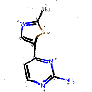 CC(C)(C)c1ncc(-c2ccnc(N)n2)s1